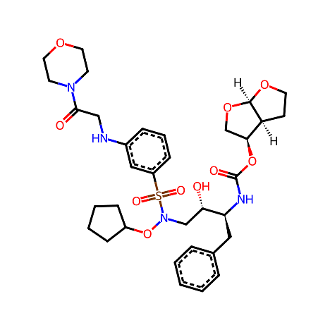 O=C(N[C@@H](Cc1ccccc1)[C@@H](O)CN(OC1CCCC1)S(=O)(=O)c1cccc(NCC(=O)N2CCOCC2)c1)O[C@H]1CO[C@H]2OCC[C@H]21